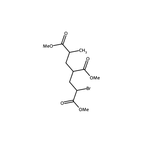 COC(=O)C(C)CC(CC(Br)C(=O)OC)C(=O)OC